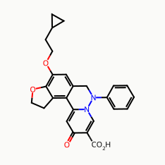 O=C(O)c1cn2c(cc1=O)-c1c(cc(OCCC3CC3)c3c1CCO3)CN2c1ccccc1